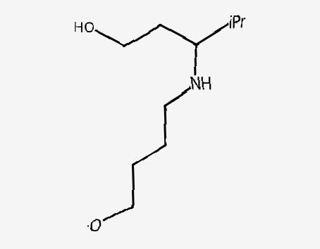 CC(C)C(CCO)NCCCC[O]